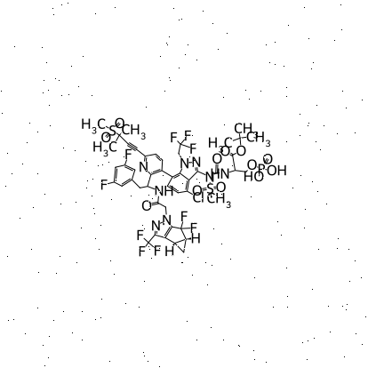 CC(C)(C)OC(=O)C(COP(=O)(O)O)NC(=O)N(c1nn(CC(F)(F)F)c2c(-c3ccc(C#CC(C)(C)S(C)(=O)=O)nc3C(Cc3cc(F)cc(F)c3)NC(=O)Cn3nc(C(F)(F)F)c4c3C(F)(F)[C@@H]3C[C@H]43)ccc(Cl)c12)S(C)(=O)=O